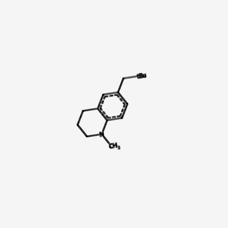 CN1CCCc2cc(CC(C)(C)C)ccc21